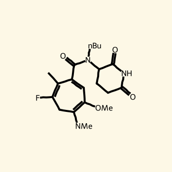 CCCCN(C(=O)C1=CC(OC)=C(NC)CC(F)=C1C)C1CCC(=O)NC1=O